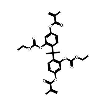 C=C(C)C(=O)Oc1ccc(C(C)(C)c2ccc(OC(=O)C(=C)C)cc2OC(=O)OCC)c(OC(=O)OCC)c1